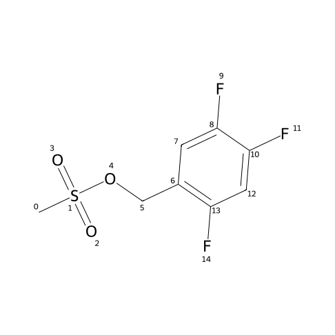 CS(=O)(=O)OCc1cc(F)c(F)cc1F